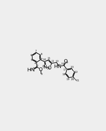 COC(=N)c1ccccc1-c1cc(CNC(=O)c2ccc(C)cc2)on1